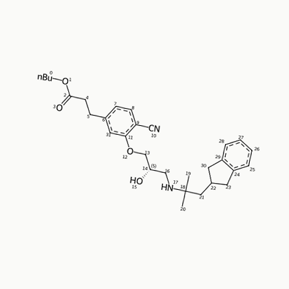 CCCCOC(=O)CCc1ccc(C#N)c(OC[C@@H](O)CNC(C)(C)CC2Cc3ccccc3C2)c1